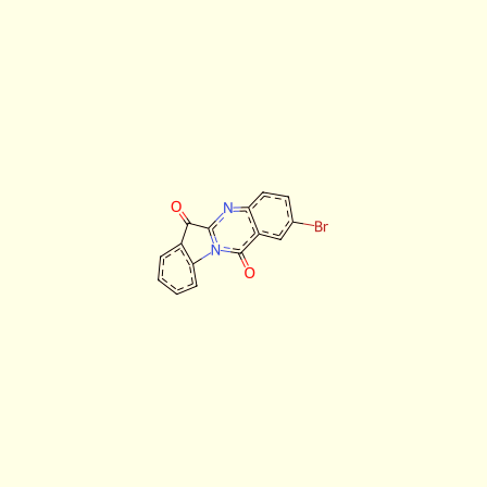 O=C1c2ccccc2-n2c1nc1ccc(Br)cc1c2=O